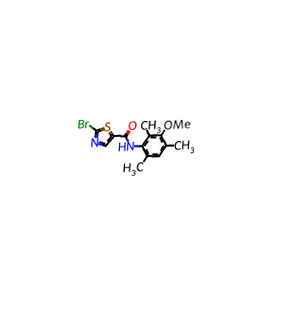 COc1c(C)cc(C)c(NC(=O)c2cnc(Br)s2)c1C